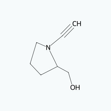 C#CN1CCCC1CO